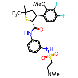 CNCCS(=O)(=O)Nc1cccc(NC(=O)[C@@H]2S[C@@](C)(C(F)(F)F)C[C@H]2c2ccc(F)c(F)c2OC)c1